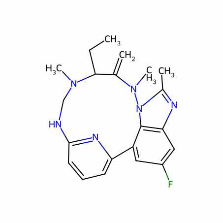 C=C1C(CC)N(C)CNc2cccc(n2)-c2cc(F)cc3nc(C)n(c23)N1C